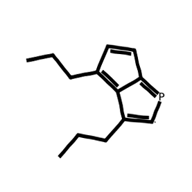 CCCC1=[C]P=C2C=CC(CCC)=C12